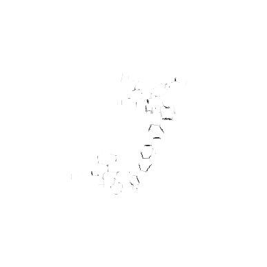 COC(=O)N[C@H](C(=O)N1CCN(C(C)=O)C[C@H]1c1ncc(-c2ccc(-c3ccc4cc(-c5cnc([C@@H]6CCCN6C(=O)[C@@H](NC(=O)OC)C6CCOCC6)[nH]5)ccc4n3)cc2)[nH]1)C(C)C